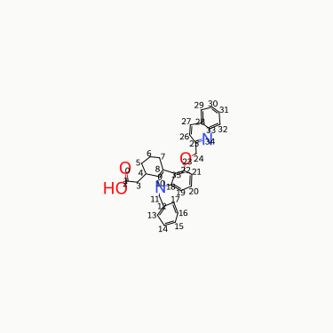 O=C(O)CC1CCCc2c1n(Cc1ccccc1)c1cccc(OCc3ccc4ccccc4n3)c21